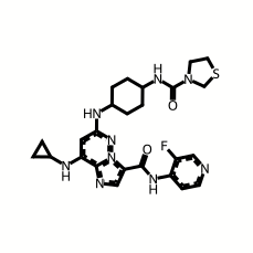 O=C(Nc1ccncc1F)c1cnc2c(NC3CC3)cc(NC3CCC(NC(=O)N4CCSC4)CC3)nn12